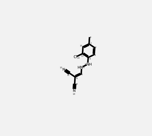 Cc1ccc(NNC=C(C#N)C#N)c(Cl)c1